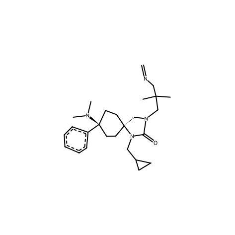 C=NCC(C)(C)CN1C[C@]2(CC[C@](c3ccccc3)(N(C)C)CC2)N(CC2CC2)C1=O